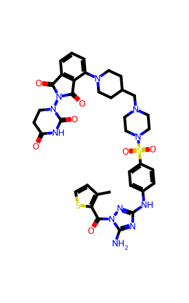 Cc1ccsc1C(=O)n1nc(Nc2ccc(S(=O)(=O)N3CCN(CC4CCN(c5cccc6c5C(=O)N(N5CCC(=O)NC5=O)C6=O)CC4)CC3)cc2)nc1N